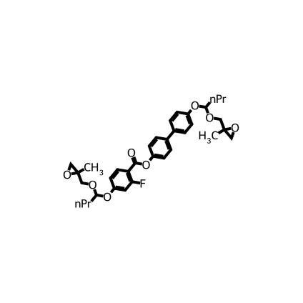 CCCC(OCC1(C)CO1)Oc1ccc(-c2ccc(OC(=O)c3ccc(OC(CCC)OCC4(C)CO4)cc3F)cc2)cc1